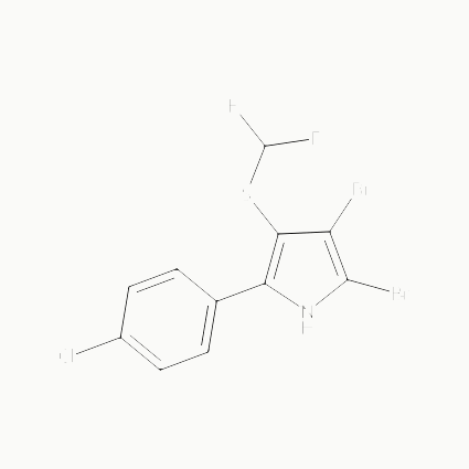 FC(F)Sc1c(-c2ccc(Cl)cc2)[nH]c(Br)c1Br